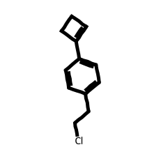 ClCCc1ccc(C2=CCC2)cc1